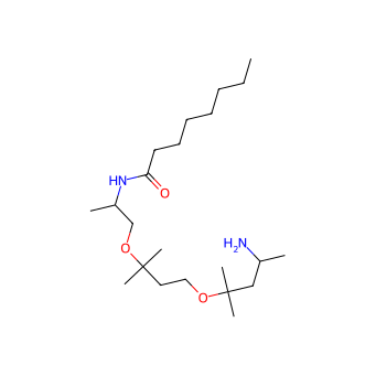 CCCCCCCC(=O)NC(C)COC(C)(C)CCOC(C)(C)CC(C)N